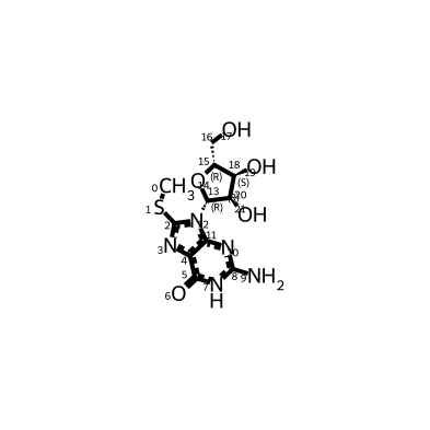 CSc1nc2c(=O)[nH]c(N)nc2n1[C@@H]1O[C@H](CO)[C@@H](O)[C@H]1O